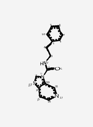 O=C(NCCc1ccccc1)n1cnc2ccncc21